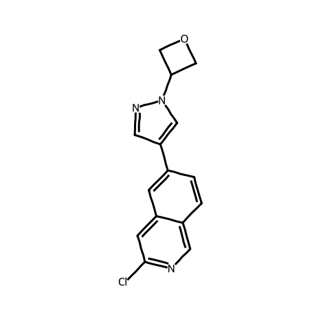 Clc1cc2cc(-c3cnn(C4COC4)c3)ccc2cn1